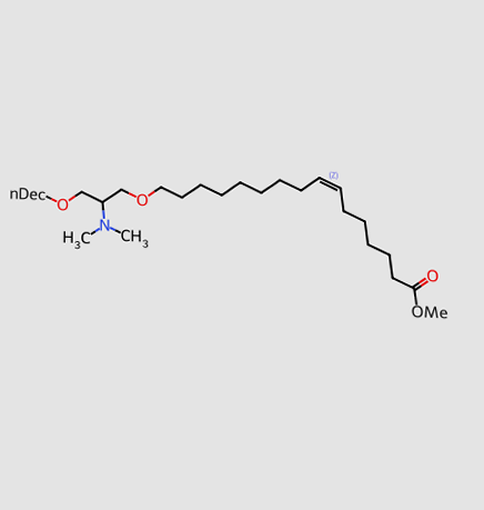 CCCCCCCCCCOCC(COCCCCCCCC/C=C\CCCCCC(=O)OC)N(C)C